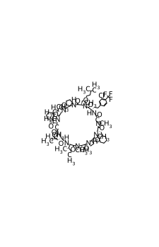 CC[C@H](C)[C@@H]1NC(=O)[C@H](CC(C)C)N(C)C(=O)C[C@@H](C(=O)N2CCCCC2)N(C)C(=O)[C@H](C(C)C)N(C)C(=O)C2(CCCC2)NC(=O)[C@@H](COCCC(C)C)N(C)C(=O)[C@H](CCc2ccc(C(F)(F)F)c(Cl)c2)NC(=O)CN(C)C(=O)[C@H](CC2CCCCC2)N(C)C(=O)[C@@H]2CCN2C(=O)[C@H](C)N(C)C1=O